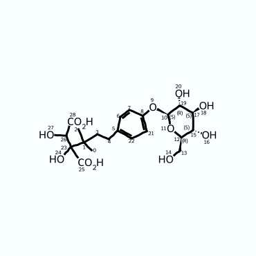 CC(C)(CCc1ccc(O[C@@H]2O[C@H](CO)[C@@H](O)[C@H](O)[C@H]2O)cc1)C(O)(C(=O)O)C(O)C(=O)O